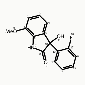 COc1cccc2c1NC(=O)C2(O)c1ccccc1F